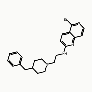 CCc1nccc2nc(NCCN3CCC(Cc4ccccc4)CC3)ccc12